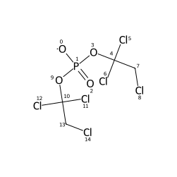 [O]P(=O)(OC(Cl)(Cl)CCl)OC(Cl)(Cl)CCl